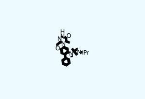 CC(C)N1CC(C)(N(C)c2cc3c(cc2-c2ccccc2)OCC2=NNC(=O)C(C)N23)C1